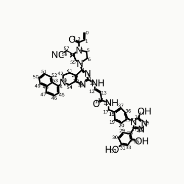 C=CC(=O)N1CCN(c2nc(NC=CC(=O)NCc3ccc(-n4c(O)nnc4-c4ccc(O)cc4O)cc3)nc3c2CCN(c2cccc4ccccc24)C3)C[C@H]1CC#N